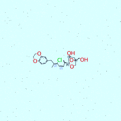 C=C(/C=C\C(Cl)=C(/C)Cc1ccc2c(c1)OCCO2)[C@]12C[C@@H](O)C[C@](CO)(CO1)O2